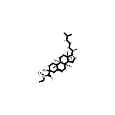 CCN(N)C(=O)C1(O)CC[C@@]2(C)C(=CC[C@H]3[C@@H]4CC[C@H]([C@H](C)CCCC(C)C)[C@@]4(C)CC[C@@H]32)C1